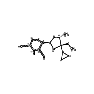 CC[C@@]1(C2CC2)O[C@@H](n2ccc(=O)[nH]c2=O)C[C@@H]1C